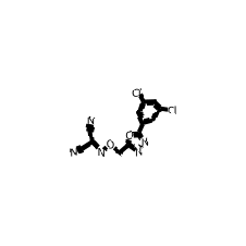 N#CC(C#N)=NOCc1nnc(-c2cc(Cl)cc(Cl)c2)o1